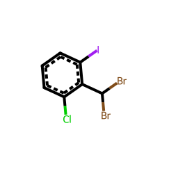 Clc1cccc(I)c1C(Br)Br